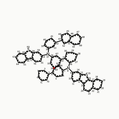 c1ccc(-c2ccc(N(c3ccc4c(c3)sc3c5ccccc5ccc43)c3ccccc3-c3cccc(N(c4cccc(-c5ccc6ccccc6c5)c4)c4ccc5c(c4)sc4ccccc45)c3)cc2)cc1